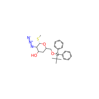 CS[C@@H]1OC(CO[Si](c2ccccc2)(c2ccccc2)C(C)(C)C)CC(O)C1N=[N+]=[N-]